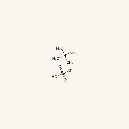 C[N+](C)(C)C.O=[Se](=O)([O-])O